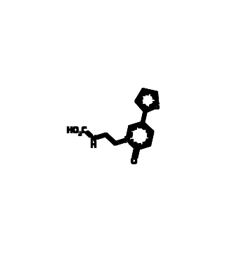 O=C(O)NCCn1cc(-c2cccs2)ccc1=O